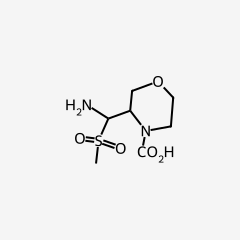 CS(=O)(=O)C(N)C1COCCN1C(=O)O